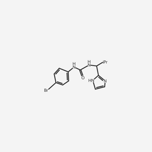 CC(C)C(NC(=O)Nc1ccc(Br)cc1)c1ncc[nH]1